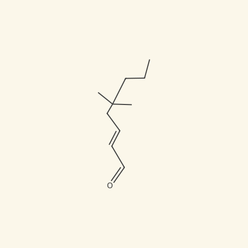 CCCC(C)(C)CC=CC=O